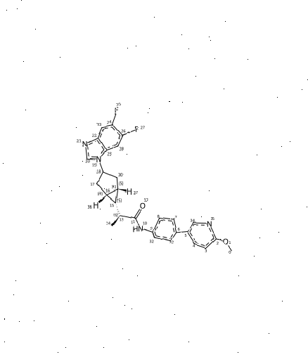 COc1ccc(-c2ccc(NC(=O)[C@@H](C)[C@@H]3[C@@H]4CC(n5cnc6cc(F)c(F)cc65)C[C@@H]43)cc2)cn1